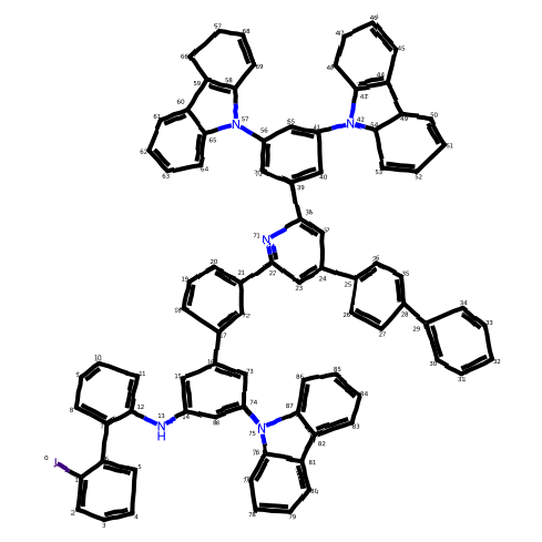 Ic1ccccc1-c1ccccc1Nc1cc(-c2cccc(-c3cc(-c4ccc(-c5ccccc5)cc4)cc(-c4cc(N5C6=C(C=CCC6)C6C=CC=CC65)cc(-n5c6c(c7ccccc75)CCC=C6)c4)n3)c2)cc(-n2c3ccccc3c3ccccc32)c1